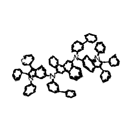 c1ccc(-c2cccc(N(c3ccc4c(-c5ccccc5)c(-c5ccccc5)n(-c5ccccc5)c4c3)c3cc4c5ccccc5c(N(c5cccc(-c6ccccc6)c5)c5ccc6c(-c7ccccc7)c(-c7ccccc7)n(-c7ccccc7)c6c5)cc4c4ccccc34)c2)cc1